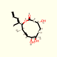 C=C/C=C(\C)[C@H]1OC(=O)C[C@H](O)CC[C@@](C)(O)[C@@H](O)/C=C/[C@@H]1C